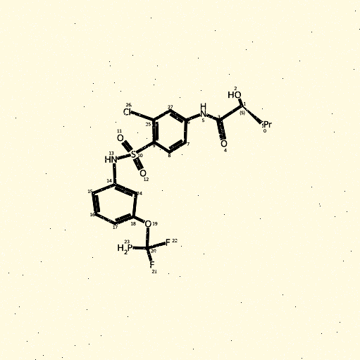 CC(C)[C@H](O)C(=O)Nc1ccc(S(=O)(=O)Nc2cccc(OC(F)(F)P)c2)c(Cl)c1